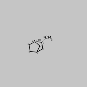 C[C@@H]1CC2CCN1C2